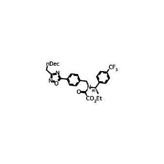 CCCCCCCCCCCc1noc(-c2ccc(CN(C(=O)C(=O)OCC)[C@H](C)c3ccc(C(F)(F)F)cc3)cc2)n1